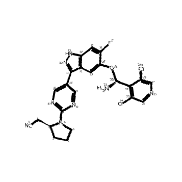 N#CC[C@@H]1CCCN1c1ncc(-c2n[nH]c3cc(F)c(O[C@H](N)c4c(Cl)cncc4Cl)cc23)cn1